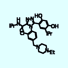 CCN1CCN(Cc2ccc(-n3c(C(=O)NC(C)C)nnc3-c3cc(C(C)C)c(O)cc3O)c(Cl)c2)CC1